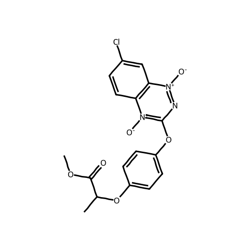 COC(=O)C(C)Oc1ccc(Oc2n[n+]([O-])c3cc(Cl)ccc3[n+]2[O-])cc1